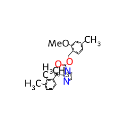 COc1cc(C)ccc1COC(=O)n1ccnc1[C@@H](C)c1cccc(C)c1C